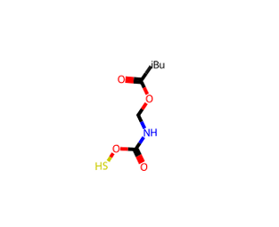 CCC(C)C(=O)OCNC(=O)OS